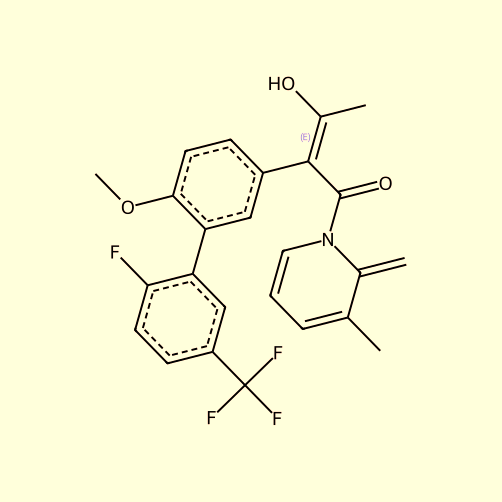 C=C1C(C)=CC=CN1C(=O)/C(=C(\C)O)c1ccc(OC)c(-c2cc(C(F)(F)F)ccc2F)c1